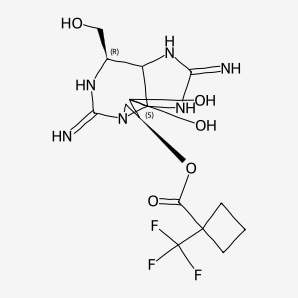 N=C1NC2[C@H](CO)NC(=N)N3C[C@H](OC(=O)C4(C(F)(F)F)CCC4)C(O)(O)C23N1